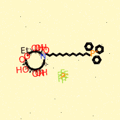 CC[C@H]1OC(=O)[C@H](C)[C@@H](O)[C@H](C)[C@@H](O)[C@](C)(O)C[C@@H](C)CN(C(=O)CCCCCCCCCCCCC[P+](c2ccccc2)(c2ccccc2)c2ccccc2)[C@H](C)[C@@H](O)[C@]1(C)O.F[P-](F)(F)(F)(F)F